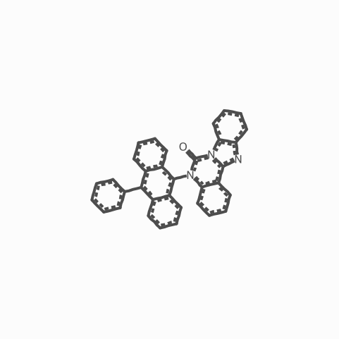 O=c1n(-c2c3ccccc3c(-c3ccccc3)c3ccccc23)c2ccccc2c2nc3ccccc3n12